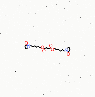 O=C(C=CC(=O)OCCCCCCN1CCCC1=O)OCCCCCCN1CCCC1=O